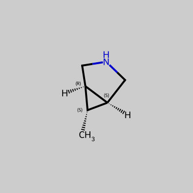 C[C@@H]1[C@H]2CNC[C@@H]12